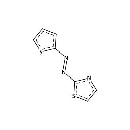 c1csc(N=Nc2nccs2)c1